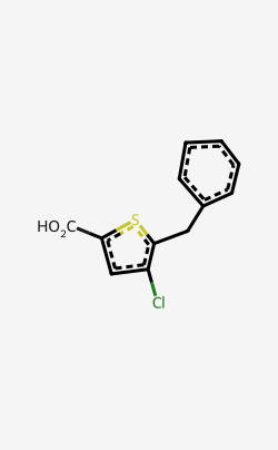 O=C(O)c1cc(Cl)c(Cc2ccccc2)s1